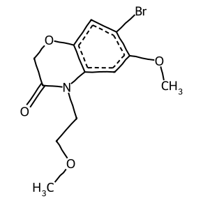 COCCN1C(=O)COc2cc(Br)c(OC)cc21